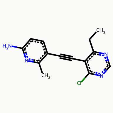 CCc1ncnc(Cl)c1C#Cc1ccc(N)nc1C